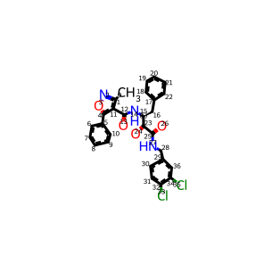 Cc1noc(-c2ccccc2)c1C(=O)N[C@@H](Cc1ccccc1)C(=O)C(=O)NCc1ccc(Cl)c(Cl)c1